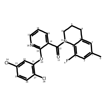 Cc1cc(F)c2c(c1)CCCN2C(=O)c1cccnc1Oc1cc(Cl)ccc1Cl